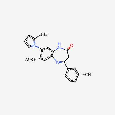 COc1cc2c(cc1-n1cccc1C(C)(C)C)NC(=O)CC(c1cccc(C#N)c1)=N2